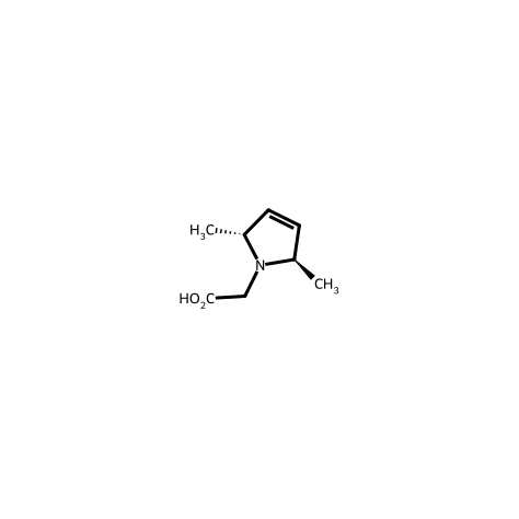 C[C@@H]1C=C[C@@H](C)N1CC(=O)O